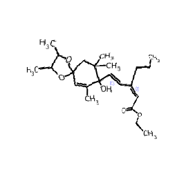 CCCC(=C/C(=O)OCC)/C=C/C1(O)C(C)=CC2(CC1(C)C)OC(C)C(C)O2